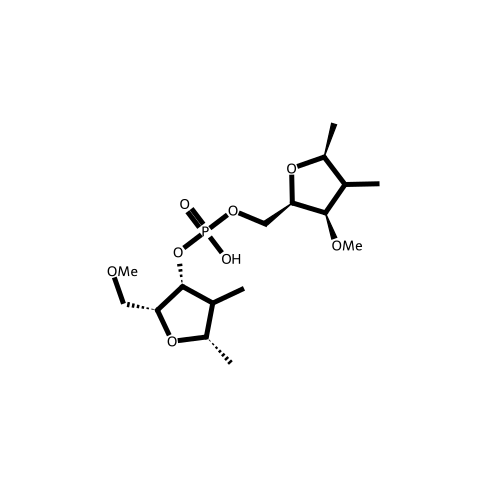 COC[C@H]1O[C@@H](C)C(C)[C@H]1OP(=O)(O)OC[C@H]1O[C@@H](C)C(C)[C@H]1OC